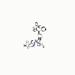 C=C(CN1CCC(=C2c3ccccc3CC(=O)c3sccc32)CC1)/N=C(C)\C=C/C